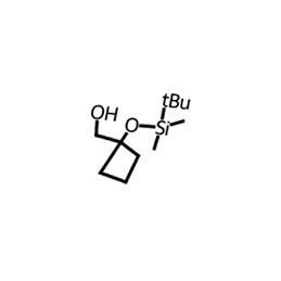 CC(C)(C)[Si](C)(C)OC1(CO)CCC1